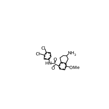 COc1ccc(S(=O)(=O)Nc2ccc(Cl)c(Cl)c2)c2c1CC(N)CC2